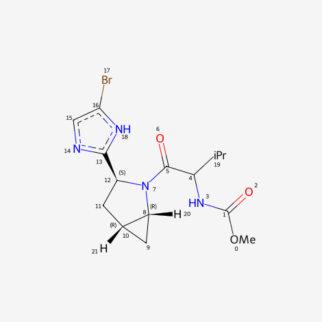 COC(=O)NC(C(=O)N1[C@@H]2C[C@@H]2C[C@H]1c1ncc(Br)[nH]1)C(C)C